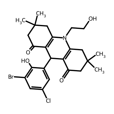 CC1(C)CC(=O)C2=C(C1)N(CCO)C1=C(C(=O)CC(C)(C)C1)C2c1cc(Cl)cc(Br)c1O